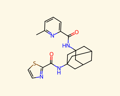 Cc1cccc(C(=O)NC23CC4CC(C2)CC(NC(=O)c2nccs2)(C4)C3)n1